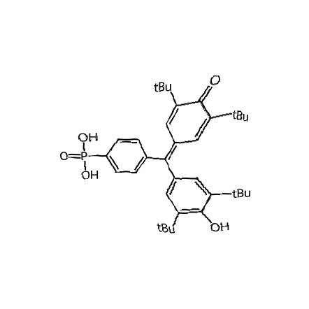 CC(C)(C)C1=CC(=C(c2ccc(P(=O)(O)O)cc2)c2cc(C(C)(C)C)c(O)c(C(C)(C)C)c2)C=C(C(C)(C)C)C1=O